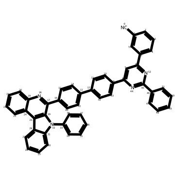 N#Cc1cccc(-c2cc(-c3ccc(-c4ccc(-c5nc6ccccc6c6c7ccccc7n(-c7ccccc7)c56)cc4)cc3)nc(-c3ccccc3)n2)c1